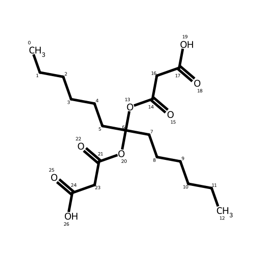 CCCCCCC(CCCCCC)(OC(=O)CC(=O)O)OC(=O)CC(=O)O